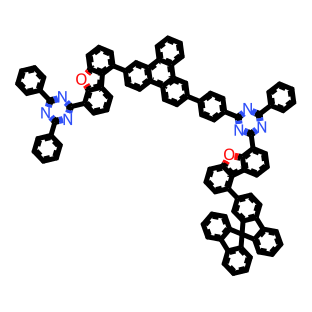 c1ccc(-c2nc(-c3ccc(-c4ccc5c6ccc(-c7cccc8oc9c(-c%10nc(-c%11ccccc%11)nc(-c%11ccccc%11)n%10)cccc9c78)cc6c6ccccc6c5c4)cc3)nc(-c3cccc4c3oc3cccc(-c5ccc6c(c5)C5(c7ccccc7-c7ccccc75)c5ccccc5-6)c34)n2)cc1